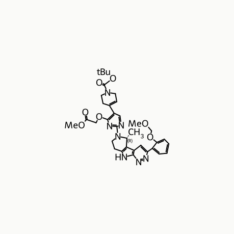 COCOc1ccccc1-c1cc2c3c([nH]c2nn1)CCN(c1ncc(C2=CCN(C(=O)OC(C)(C)C)CC2)c(OCC(=O)OC)n1)[C@@H]3C